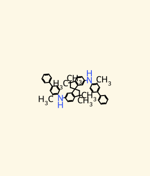 Cc1cc(-c2ccccc2)ccc1Nc1ccc2c(c1)C1(CC2(C)C)CC(C)(C)c2ccc(Nc3ccc(-c4ccccc4)cc3C)cc21